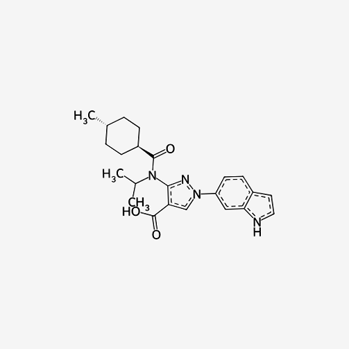 CC(C)N(c1nn(-c2ccc3cc[nH]c3c2)cc1C(=O)O)C(=O)[C@H]1CC[C@H](C)CC1